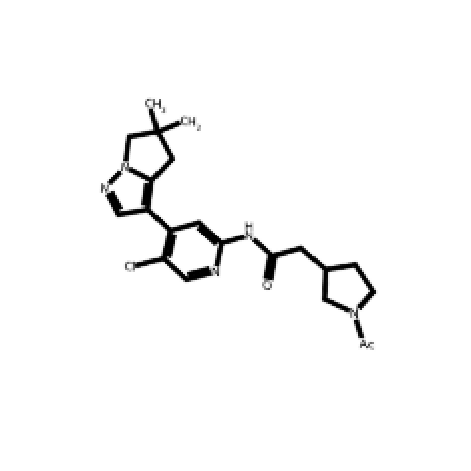 CC(=O)N1CCC(CC(=O)Nc2cc(-c3cnn4c3CC(C)(C)C4)c(Cl)cn2)C1